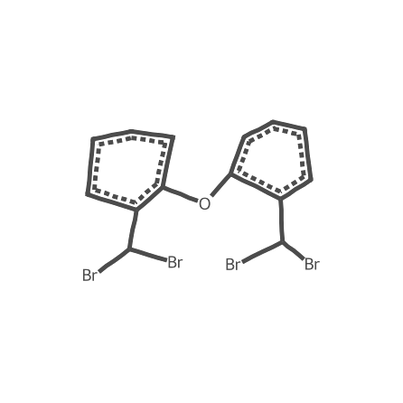 BrC(Br)c1ccccc1Oc1ccccc1C(Br)Br